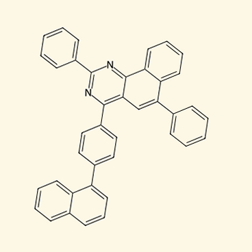 c1ccc(-c2nc(-c3ccc(-c4cccc5ccccc45)cc3)c3cc(-c4ccccc4)c4ccccc4c3n2)cc1